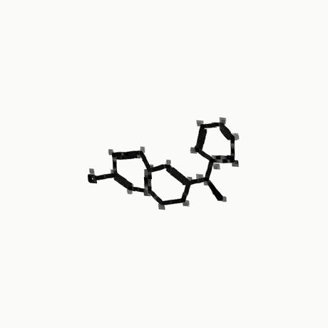 C[C@@H](C1=Cc2ccc(Cl)cc2CC1)c1ccccc1